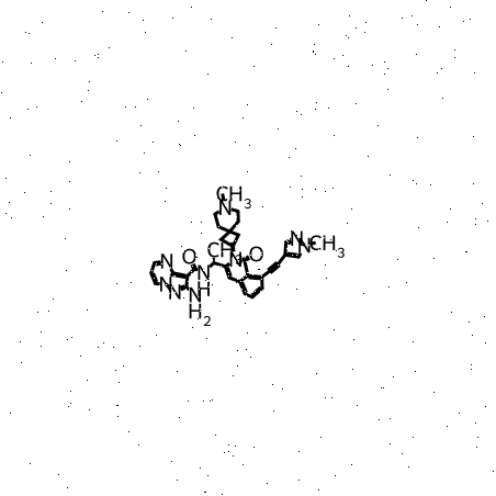 C[C@H](NC(=O)c1c(N)nn2cccnc12)c1cc2cccc(C#Cc3cnn(C)c3)c2c(=O)n1C1CC2(CCN(C)CC2)C1